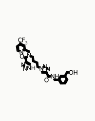 O=C(NCc1cccc(CO)c1)c1cn(CCCCN(Cc2cc(C(F)(F)F)ccn2)C(=O)c2c[nH]nn2)nn1